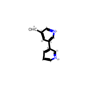 O=Cc1cncc(-c2cccnc2)c1